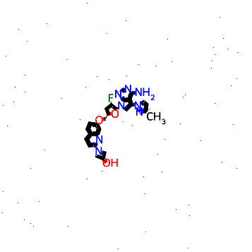 Cc1ccn(-c2cn([C@@H]3O[C@H](COc4ccc5ccc(N6CC(O)C6)nc5c4)C[C@@H]3F)c3ncnc(N)c23)n1